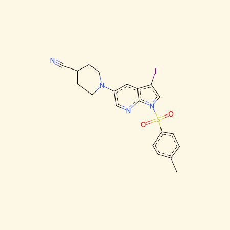 Cc1ccc(S(=O)(=O)n2cc(I)c3cc(N4CCC(C#N)CC4)cnc32)cc1